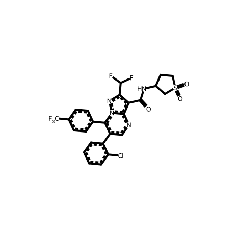 O=C(NC1CCS(=O)(=O)C1)c1c(C(F)F)nn2c(-c3ccc(C(F)(F)F)cc3)c(-c3ccccc3Cl)cnc12